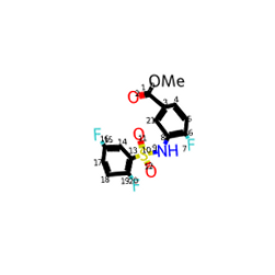 COC(=O)c1ccc(F)c(NS(=O)(=O)c2cc(F)ccc2F)c1